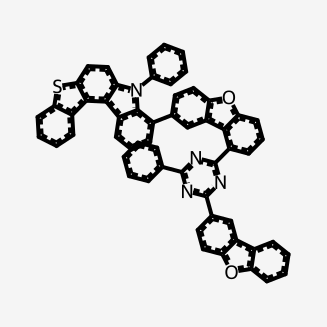 c1ccc(-c2nc(-c3ccc4oc5ccccc5c4c3)nc(-c3cccc4oc5ccc(-c6cccc7c8c9c(ccc8n(-c8ccccc8)c67)sc6ccccc69)cc5c34)n2)cc1